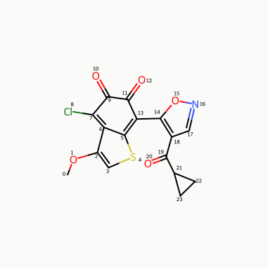 COc1csc2c1=C(Cl)C(=O)C(=O)C=2c1oncc1C(=O)C1CC1